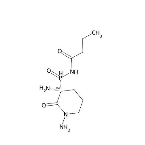 CCCC(=O)N[PH](=O)[C@@]1(N)CCCN(N)C1=O